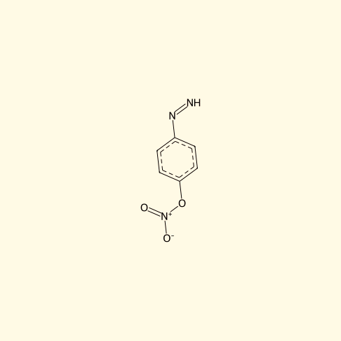 N=Nc1ccc(O[N+](=O)[O-])cc1